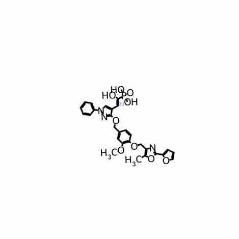 COc1cc(COc2nn(-c3ccccc3)cc2/C=C(\O)P(=O)(O)O)ccc1OCc1nc(-c2ccco2)oc1C